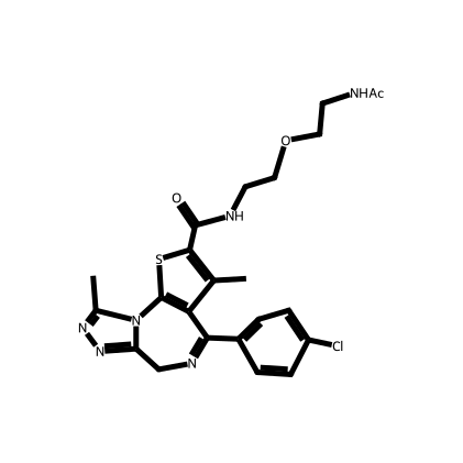 CC(=O)NCCOCCNC(=O)c1sc2c(c1C)C(c1ccc(Cl)cc1)=NCc1nnc(C)n1-2